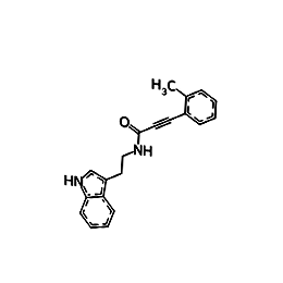 Cc1ccccc1C#CC(=O)NCCc1c[nH]c2ccccc12